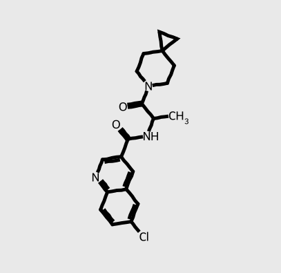 CC(NC(=O)c1cnc2ccc(Cl)cc2c1)C(=O)N1CCC2(CC1)CC2